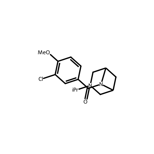 COc1ccc(C(=O)N2C3CC2CN(C(C)C)C3)cc1Cl